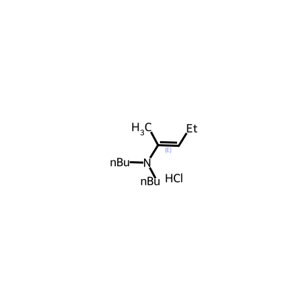 CC/C=C(\C)N(CCCC)CCCC.Cl